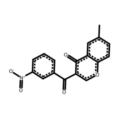 Cc1ccc2occ(C(=O)c3cccc([N+](=O)[O-])c3)c(=O)c2c1